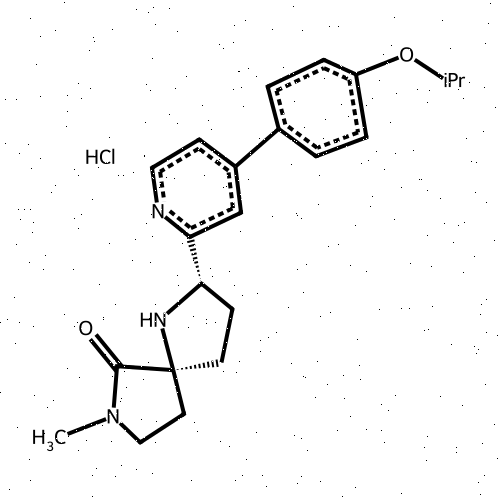 CC(C)Oc1ccc(-c2ccnc([C@@H]3CC[C@@]4(CCN(C)C4=O)N3)c2)cc1.Cl